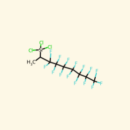 CC(C(F)(F)C(F)(F)C(F)(F)C(F)(F)C(F)(F)C(F)(F)C(F)(F)F)[Si](Cl)(Cl)Cl